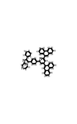 c1ccc(-c2nc3cnccn3c2-c2ccc(-c3cc(-c4cc5ccccc5c5ccccc45)cc(-c4cc5ccccc5c5ccccc45)n3)cc2)cc1